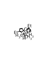 CCC1=C[C](C)([Zr]([SiH](C)C)[C]2(C)C=CC(CC)=C2)C=C1